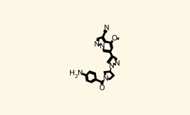 COc1cc(-c2cnn([C@H]3CCN(C(=O)c4ccc(N)cc4)C3)c2)cn2ncc(C#N)c12